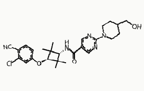 CC1(C)[C@H](NC(=O)c2cnc(N3CCC(CO)CC3)nc2)C(C)(C)[C@H]1Oc1ccc(C#N)c(Cl)c1